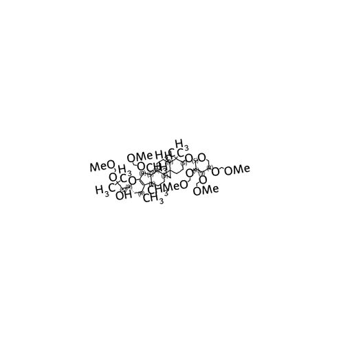 COCO[C@@H]1[C@@H](OCOC)[C@H](O[C@H]2CCC34C[C@]35CC[C@]3(C)C6=C(O[C@@H]([C@H](O)C(C)(C)OCOC)C[C@H]6C)[C@H](OCOC)[C@@]3(C)[C@@H]5CC[C@H]4C2(C)C)OC[C@H]1OCOC